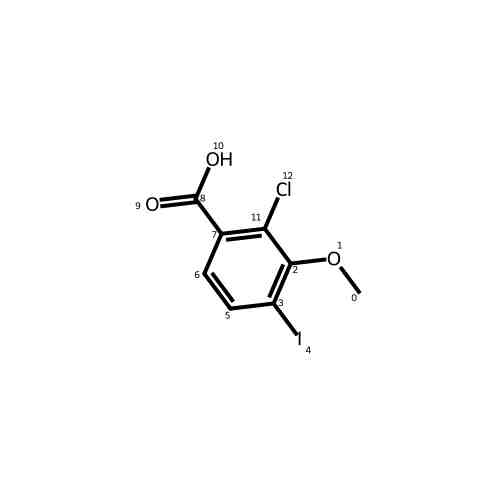 COc1c(I)ccc(C(=O)O)c1Cl